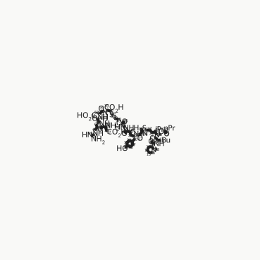 CCCC(=O)OCN(C(=O)C(NC(=O)[C@H]1CCCCN1C)C(C)CC)C(CCc1nc(C(=O)N[C@@H](Cc2ccc(O)cc2)C[C@H](C)C(=O)NNC(=O)OCCSSC[C@H](NC(=O)[C@H](CC(=O)O)NC(=O)[C@H](CCCNC(=N)N)NC(=O)[C@@H](N)CC(=O)O)C(=O)O)cs1)C(C)C